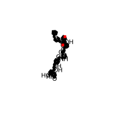 O=C(NC1CCCN(C(=O)COc2cccc(C(O)(C(=O)OCC3CCN(Cc4ccccc4)CC3)c3ccccc3)c2)C1)c1ccc(CNCC(O)c2ccc(O)c3[nH]c(=O)ccc23)cc1